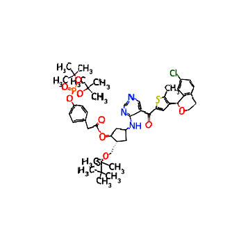 Cc1sc(C(=O)c2cncnc2N[C@H]2C[C@H](CO[Si](C)(C)C(C)(C)C)[C@@H](OC(=O)Cc3ccc(OP(=O)(OC(C)(C)C)OC(C)(C)C)cc3)C2)cc1[C@@H]1OCCc2ccc(Cl)cc21